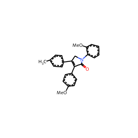 COc1ccc(C2=C(c3ccc(C)cc3)CN(c3ccccc3OC)C2=O)cc1